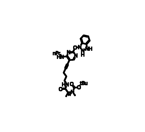 CCCNc1nc(ON2NNc3ccccc32)ncc1C#CCCCNC(=O)[C@H](C)N(C)C(=O)OC(C)(C)C